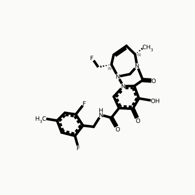 Cc1cc(F)c(CNC(=O)c2cn3c(c(O)c2=O)C(=O)N2CN3[C@H](CF)C=C[C@@H]2C)c(F)c1